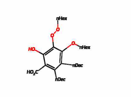 CCCCCCCCCCc1c(CCCCCCCCCC)c(C(=O)O)c(O)c(OOCCCCCC)c1OCCCCCC